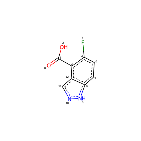 O=C(O)c1c(F)ccc2[nH]ncc12